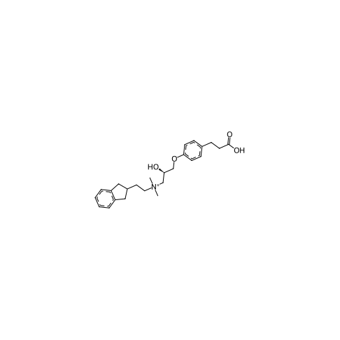 C[N+](C)(CCC1Cc2ccccc2C1)C[C@@H](O)COc1ccc(CCC(=O)O)cc1